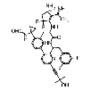 Cc1cc(-c2ccc(C#CC(C)(C)O)nc2C(Cc2cc(F)cc(F)c2)NC(=O)CNC2=C(C(=N)C(F)(F)F)[C@@H](N)CC2(F)F)ccc1C1(NC=O)CC1